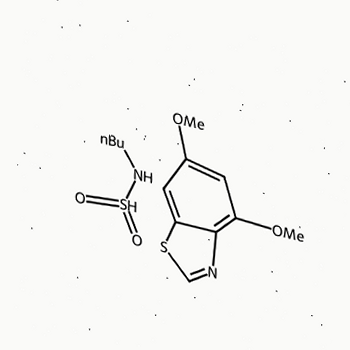 CCCCN[SH](=O)=O.COc1cc(OC)c2ncsc2c1